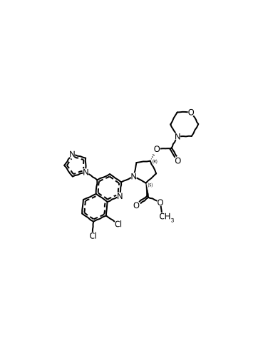 COC(=O)[C@@H]1C[C@@H](OC(=O)N2CCOCC2)CN1c1cc(-n2ccnc2)c2ccc(Cl)c(Cl)c2n1